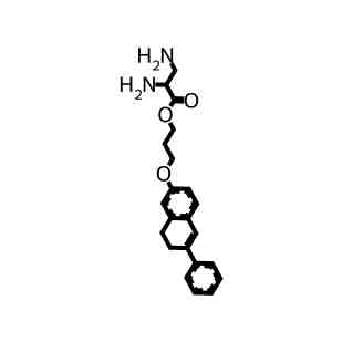 NCC(N)C(=O)OCCCOc1ccc2c(c1)CCC(c1ccccc1)=C2